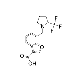 O=C(O)c1coc2c(CN3CCCC3C(F)(F)F)cccc12